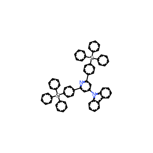 c1ccc([Si](c2ccccc2)(c2ccccc2)c2ccc(-c3cc(-n4c5ccccc5c5ccccc54)cc(-c4ccc([Si](c5ccccc5)(c5ccccc5)c5ccccc5)cc4)n3)cc2)cc1